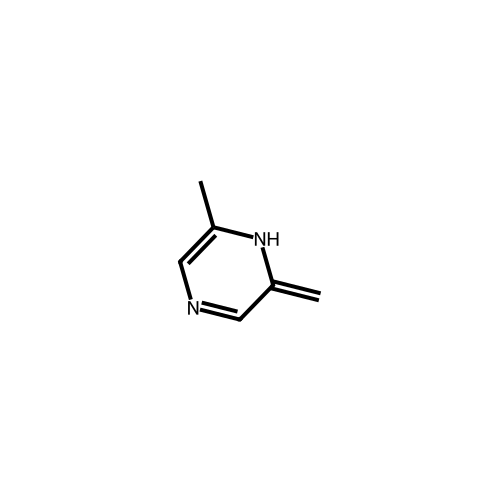 C=C1C=NC=C(C)N1